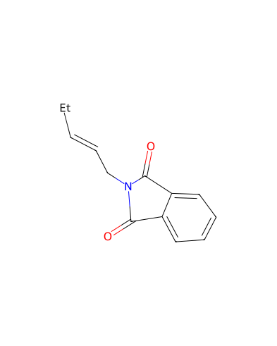 CC/C=C/CN1C(=O)c2ccccc2C1=O